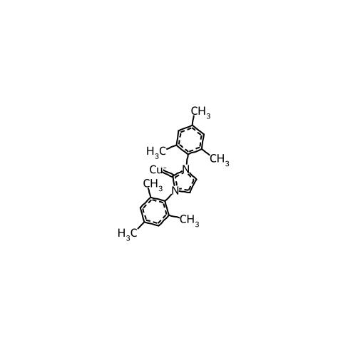 Cc1cc(C)c(-n2ccn(-c3c(C)cc(C)cc3C)[c]2=[Cu-])c(C)c1